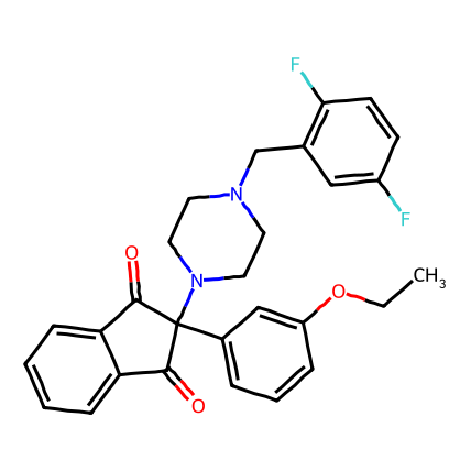 CCOc1cccc(C2(N3CCN(Cc4cc(F)ccc4F)CC3)C(=O)c3ccccc3C2=O)c1